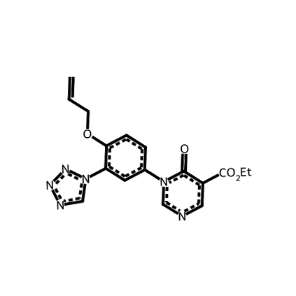 C=CCOc1ccc(-n2cncc(C(=O)OCC)c2=O)cc1-n1cnnn1